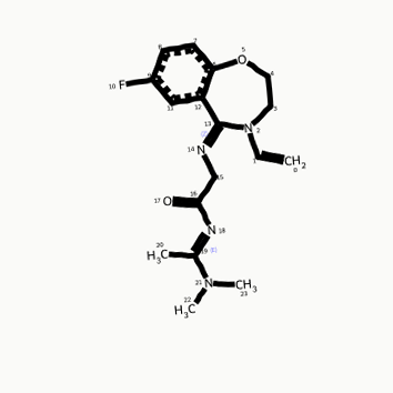 C=CN1CCOc2ccc(F)cc2/C1=N/CC(=O)/N=C(\C)N(C)C